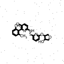 Cc1cccc(C)c1-c1nc(NSc2cccc(OC3COCC3O)n2)ccc1Cl